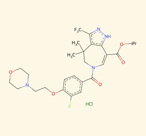 CC(C)OC(=O)C1=CN(C(=O)c2ccc(OCCN3CCOCC3)c(F)c2)CC(C)(C)c2c(C(F)(F)F)n[nH]c21.Cl